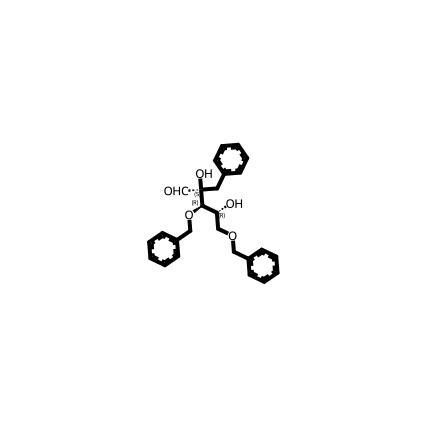 O=C[C@](O)(Cc1ccccc1)[C@H](OCc1ccccc1)[C@H](O)COCc1ccccc1